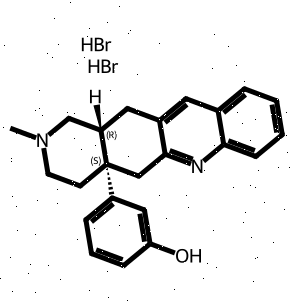 Br.Br.CN1CC[C@]2(c3cccc(O)c3)Cc3nc4ccccc4cc3C[C@H]2C1